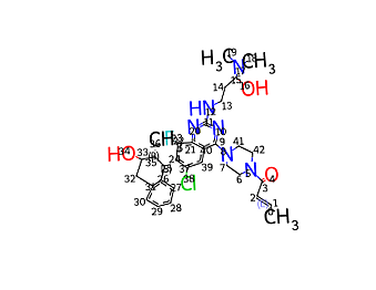 C/C=C/C(=O)N1CCN(c2nc(NCCC(O)N(C)C)nc3c(F)c([C@@H]4c5ccccc5CC(O)[C@@H]4C)c(Cl)cc23)CC1